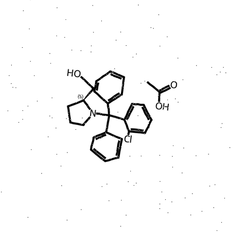 CC(=O)O.OC[C@@H]1CCCN1C(c1ccccc1)(c1ccccc1)c1ccccc1Cl